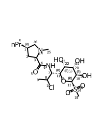 CCC[C@@H]1CC(C(=O)NC(C(C)Cl)[C@H]2O[C@H](S(C)(=O)=O)[C@H](O)[C@@H](O)[C@H]2O)N(C)C1